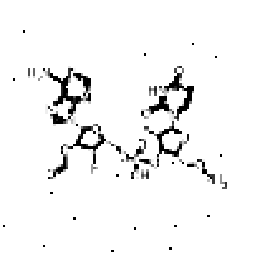 Nc1ncnc2c1ncn2[C@@H]1O[C@H](COP(=O)(O)O[C@H]2[C@@H](F)[C@H](n3ccc(=O)[nH]c3=O)O[C@@H]2COP)[C@@H](F)[C@H]1OC=O